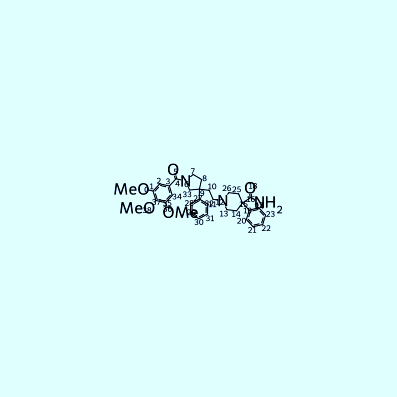 COc1cc(C(=O)N2CCC(CCN3CCC(C(N)=O)(c4ccccc4)CC3)(c3ccccc3)C2)cc(OC)c1OC